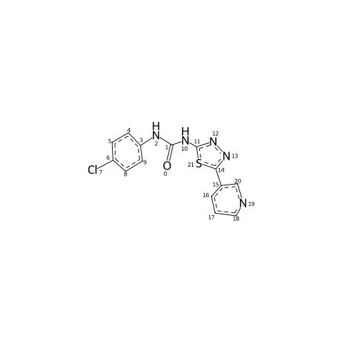 O=C(Nc1ccc(Cl)cc1)Nc1nnc(-c2cccnc2)s1